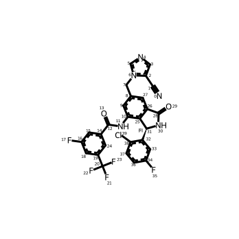 N#Cc1cncn1Cc1cc(NC(=O)c2cc(F)cc(C(F)(F)F)c2)c2c(c1)C(=O)N[C@H]2c1cc(F)ccc1Cl